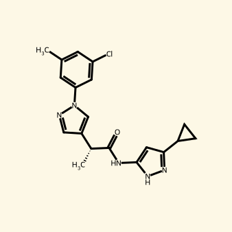 Cc1cc(Cl)cc(-n2cc([C@@H](C)C(=O)Nc3cc(C4CC4)n[nH]3)cn2)c1